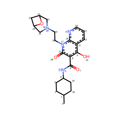 CC1CCC(NC(=O)c2c(O)c3cccnc3n(CCN3CC4CC(C3)O4)c2=O)CC1